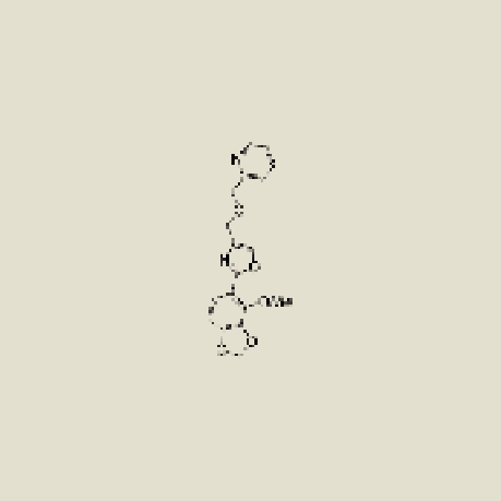 COc1c(-c2nc(COCc3ccccn3)co2)ccc2c1OCO2